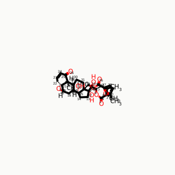 CC1=C(C)C(=O)O[C@@H]([C@](C)(O)C2(O)CC[C@@]3(O)[C@@H]4C[C@H]5O[C@]56CC=CC(=O)[C@]6(C)[C@H]4CC[C@]23COC(=O)c2ccc(C)o2)C1